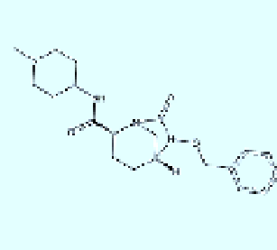 CN1CCC(NC(=O)[C@@H]2CC[C@@H]3CN2C(=O)N3OCc2ccccc2)CC1